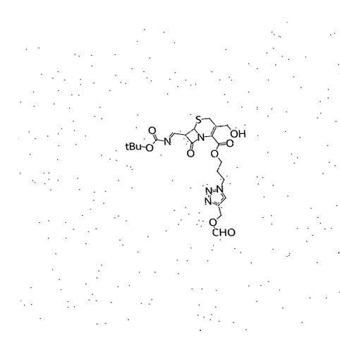 CC(C)(C)OC(=O)/N=C/C1C(=O)N2C(C(=O)OCCCn3cc(COC=O)nn3)=C(CO)CSC12